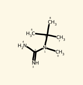 CN(C(=N)N)C(C)(C)C